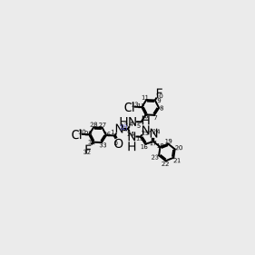 O=C(/N=C(/NCc1ccc(F)cc1Cl)Nc1cc(-c2ccccc2)n[nH]1)c1ccc(Cl)c(F)c1